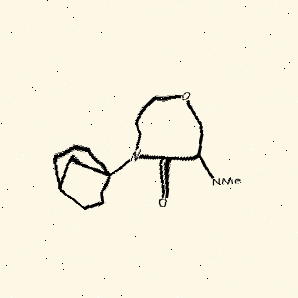 CNC1COCCN(C23CCC(CC2)C3)C1=O